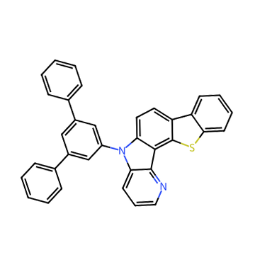 c1ccc(-c2cc(-c3ccccc3)cc(-n3c4cccnc4c4c5sc6ccccc6c5ccc43)c2)cc1